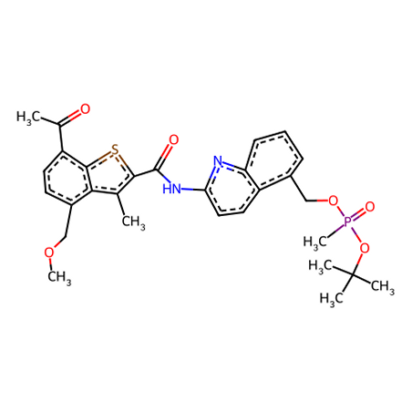 COCc1ccc(C(C)=O)c2sc(C(=O)Nc3ccc4c(COP(C)(=O)OC(C)(C)C)cccc4n3)c(C)c12